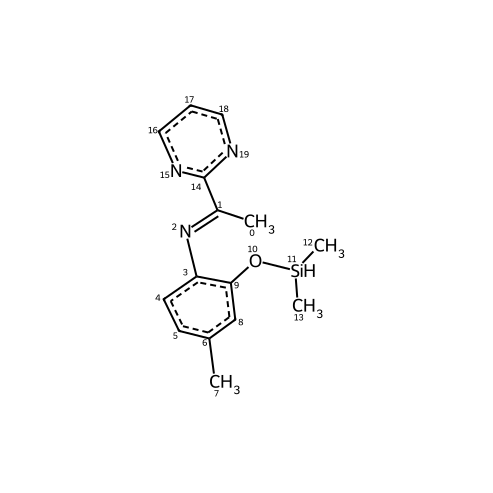 CC(=Nc1ccc(C)cc1O[SiH](C)C)c1ncccn1